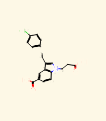 O=C(O)CCn1cc(CCc2ccc(Cl)cc2)c2cc(C(=O)O)ccc21